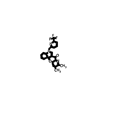 Cc1ccc(C(=O)c2cn(Cc3cccc(C(F)(F)F)n3)c3ccccc3c2=O)nc1C